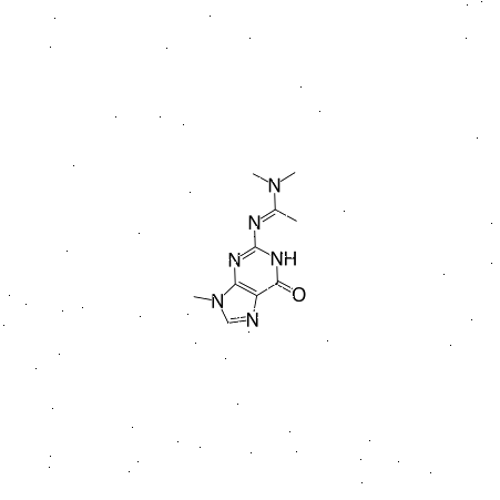 C/C(=N\c1nc2c(ncn2C)c(=O)[nH]1)N(C)C